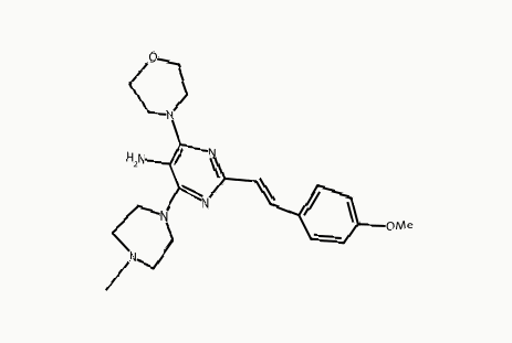 COc1ccc(C=Cc2nc(N3CCOCC3)c(N)c(N3CCN(C)CC3)n2)cc1